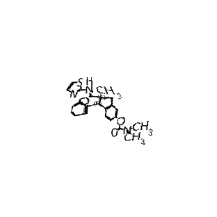 CN(C)C(=O)Oc1ccc2c(c1)C[C@](C)(C(=O)Nc1nccs1)[C@@H]2c1ccccc1